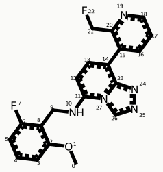 COc1cccc(F)c1CNc1ccc(-c2cccnc2CF)c2nncn12